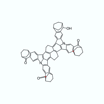 O=C1c2cc3c(cc2C2CCC1CC2)c1c2c4c(c5c6cc7c(cc6n3c15)C(=O)C1CCC7CC1)CCc1c-4c(c3c4cc5c(cc4n4c6cc7c(cc6c1c34)C1CCC(CC1)C7O)C(=O)C1CCC5CC1)CC2